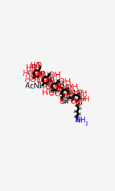 CC(=O)NC1C(O[C@@H]2OC(CO)[C@H](O)C(O)C2O)[C@@H](O)C(CO)O[C@H]1OC1C(O)[C@@H](O[C@H]2C(CO)O[C@@H](O[C@@H]3C(CF)O[C@@H](OCCCCCN)C(O)C3O)C(O)C2O)OC(CO)[C@@H]1O